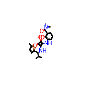 Cc1ccc([C@H](Nc2c(Nc3cccc(C(=O)N(C)C)c3O)c(=O)c2=O)C(C)C)s1